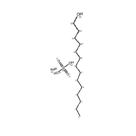 CCCCCCCCCCCCCCO.O=S(=O)(O)O.[NaH]